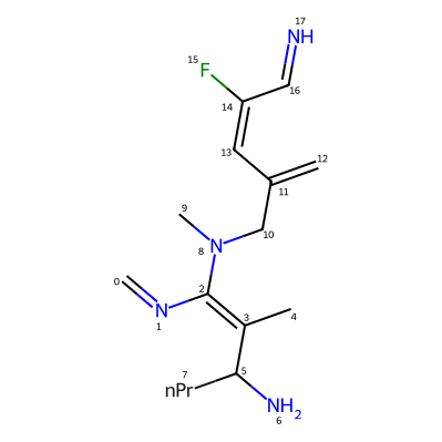 C=N/C(=C(/C)C(N)CCC)N(C)CC(=C)/C=C(/F)C=N